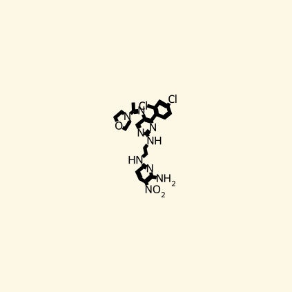 C/C(=N/c1cnc(NCCNc2ccc([N+](=O)[O-])c(N)n2)nc1-c1ccc(Cl)cc1Cl)N1CCOCC1